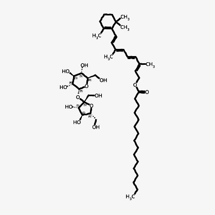 CCCCCCCCCCCCCCCC(=O)OCC=C(C)C=CC=C(C)C=CC1=C(C)CCCC1(C)C.OC[C@H]1O[C@@](CO)(O[C@H]2O[C@H](CO)[C@@H](O)[C@H](O)[C@H]2O)[C@@H](O)[C@@H]1O